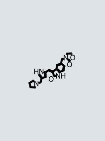 O=C1Nc2ccc(CN3CCOC3=O)cc2C1=Cc1cc(CN2CCCC2)c[nH]1